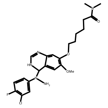 COc1cc2c(cc1OCCCCCC(=O)N(C)C)N=CNC2N(N)c1ccc(F)c(Cl)c1